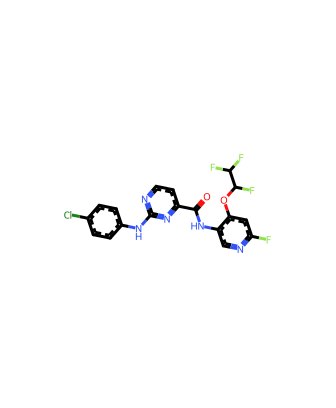 O=C(Nc1cnc(F)cc1OC(F)C(F)F)c1ccnc(Nc2ccc(Cl)cc2)n1